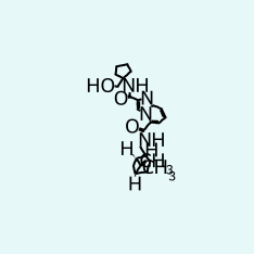 CC1(C)[C@H]2CC[C@@H](CNC(=O)c3cccc4nc(C(=O)NC5(CO)CCCC5)cn34)[C@@H]1C2